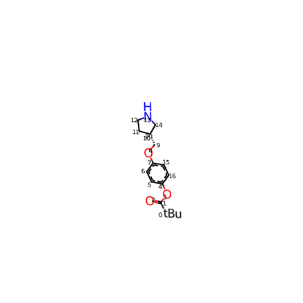 CC(C)(C)C(=O)Oc1ccc(OC[C@@H]2CCNC2)cc1